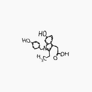 CCc1c(CC(=O)O)c2ccc(O)cc2n1Cc1ccc(O)cc1